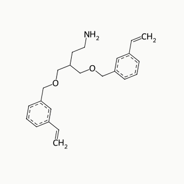 C=Cc1cccc(COCC(CCN)COCc2cccc(C=C)c2)c1